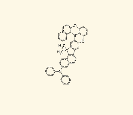 CC1(C)c2cc3c(cc2-c2ccc4cc(N(c5ccccc5)c5ccccc5)ccc4c21)Oc1cccc2c1B3c1c(ccc3ccccc13)O2